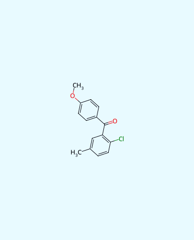 COc1ccc(C(=O)c2cc(C)ccc2Cl)cc1